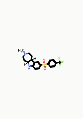 CN1CC[C@@H]2Nc3ccc(S(=O)(=O)c4ccc(C(F)(F)F)cc4)cc3[C@H]2CC1